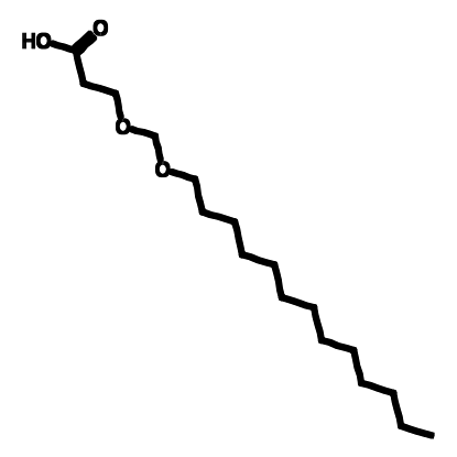 CCCCCCCCCCCCCOCOCCC(=O)O